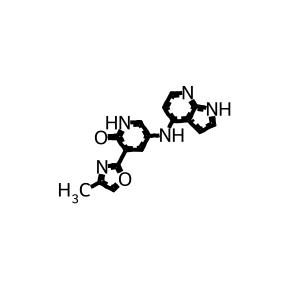 Cc1coc(-c2cc(Nc3ccnc4[nH]ccc34)c[nH]c2=O)n1